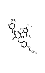 CCOc1ccc(C[C@H](NC(=O)c2[nH]c(C)cc2C)C(=O)NCc2ccc(N)nc2)cc1